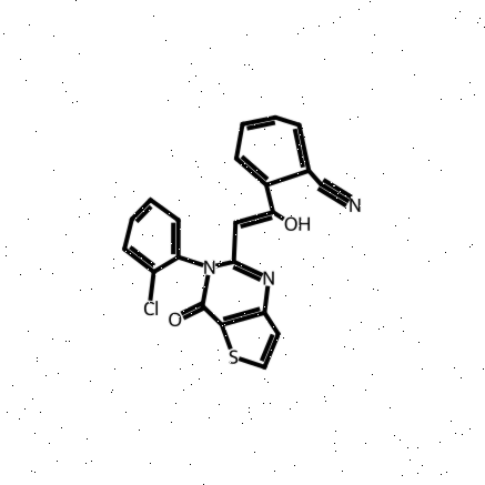 N#Cc1ccccc1/C(O)=C/c1nc2ccsc2c(=O)n1-c1ccccc1Cl